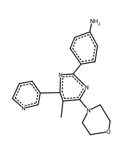 Cc1c(-c2cccnc2)nc(-c2ccc(N)cc2)nc1N1CCOCC1